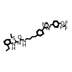 CCS/C(=N\C(=O)NCCCCc1ccc(-c2ncn(-c3ccc(OC(F)(F)F)cc3)n2)cc1)Nc1ccccc1CC